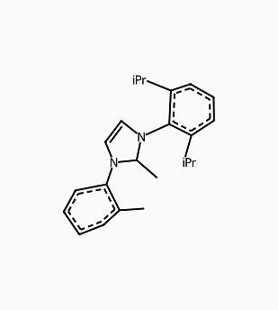 Cc1ccccc1N1C=CN(c2c(C(C)C)cccc2C(C)C)C1C